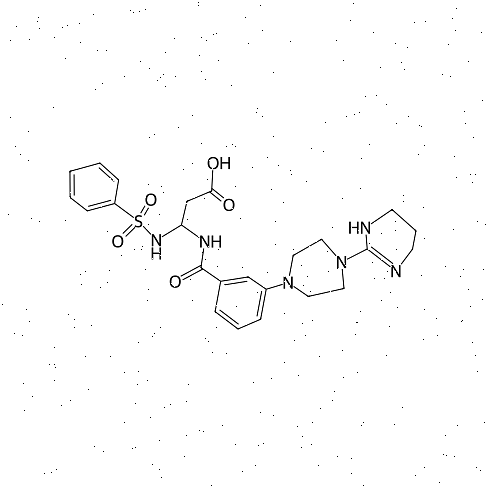 O=C(O)CC(NC(=O)c1cccc(N2CCN(C3=NCCCN3)CC2)c1)NS(=O)(=O)c1ccccc1